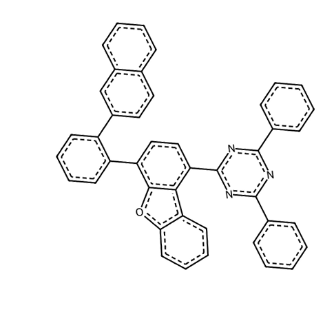 c1ccc(-c2nc(-c3ccccc3)nc(-c3ccc(-c4ccccc4-c4ccc5ccccc5c4)c4oc5ccccc5c34)n2)cc1